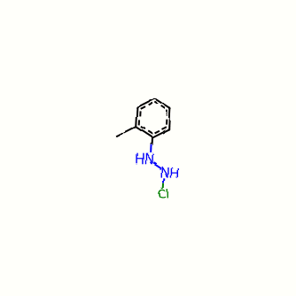 Cc1ccccc1NNCl